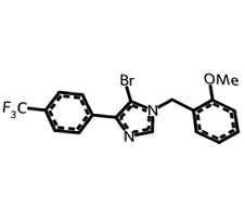 COc1ccccc1Cn1cnc(-c2ccc(C(F)(F)F)cc2)c1Br